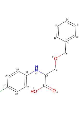 O=C(O)C(COCc1ccccc1)Nc1ccc(Cl)cc1